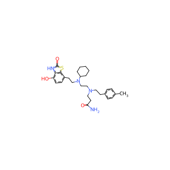 Cc1ccc(CCN(CCC(N)=O)CCN(CCc2ccc(O)c3[nH]c(=O)sc23)C2CCCCC2)cc1